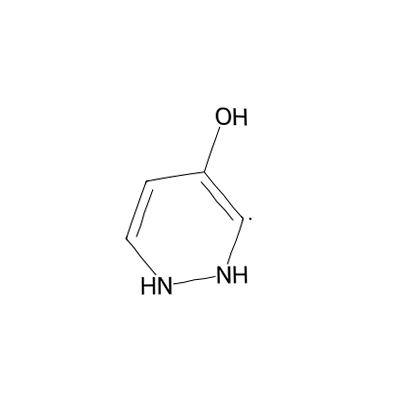 OC1=[C]NNC=C1